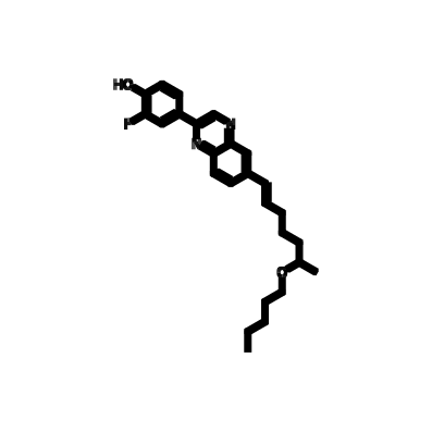 CCCCCOC(C)CCC/C=C/c1ccc2nc(-c3ccc(O)c(F)c3)cnc2c1